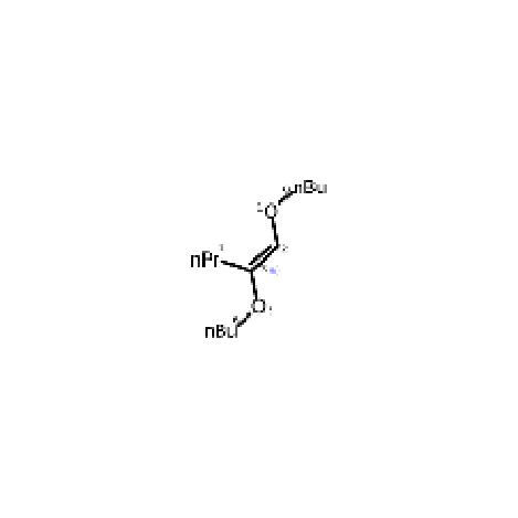 CCCCO/[C]=C(\CCC)OCCCC